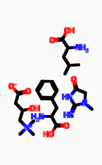 CC(C)CC(N)C(=O)O.CN1CC(=O)NC1=N.C[N+](C)(C)CC(O)CC(=O)[O-].NC(Cc1ccccc1)C(=O)O